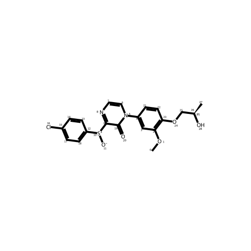 COc1cc(-n2ccnc([S+]([O-])c3ccc(Cl)cc3)c2=O)ccc1OC[C@@H](C)O